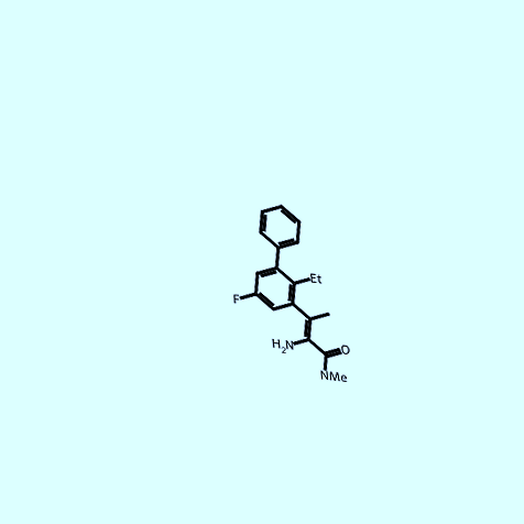 CCc1c(/C(C)=C(\N)C(=O)NC)cc(F)cc1-c1ccccc1